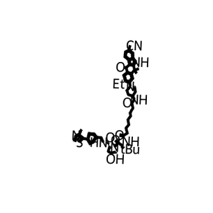 CCc1cc2c(cc1N1CCC(NC(=O)CCCCCCCC(=O)NC(C(=O)N3C[C@H](O)C[C@H]3C(=O)NCc3ccc(-c4scnc4C)cc3)C(C)(C)C)CC1)C(C)(C)c1[nH]c3cc(C#N)ccc3c1C2=O